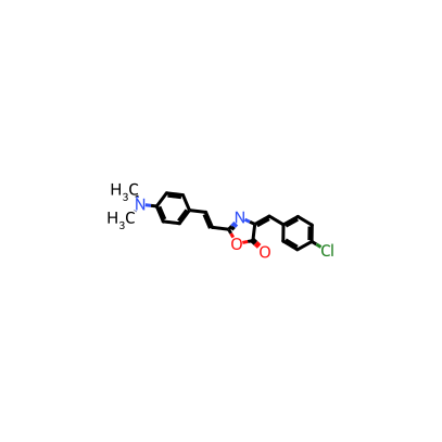 CN(C)c1ccc(C=CC2=NC(=Cc3ccc(Cl)cc3)C(=O)O2)cc1